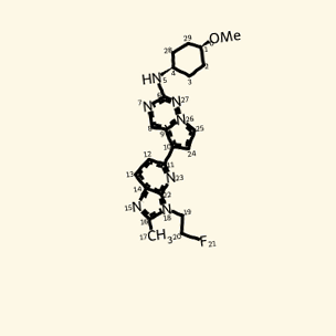 CO[C@H]1CC[C@@H](Nc2ncc3c(-c4ccc5nc(C)n(CCF)c5n4)ccn3n2)CC1